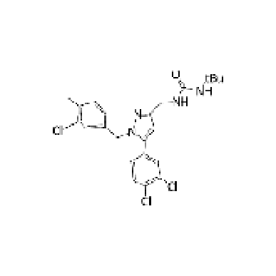 Cc1ccc(Cn2nc(CNC(=O)NC(C)(C)C)cc2-c2ccc(Cl)c(Cl)c2)cc1Cl